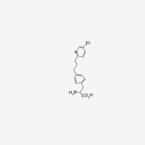 BC(Cc1ccc(CCCc2ccc(CC)cn2)cc1)C(=O)O